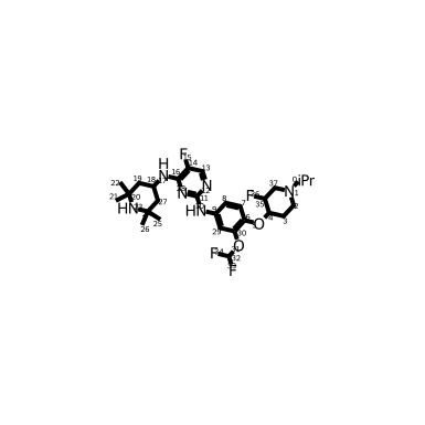 CC(C)N1CCC(Oc2ccc(Nc3ncc(F)c(NC4CC(C)(C)NC(C)(C)C4)n3)cc2OC(F)F)C(F)C1